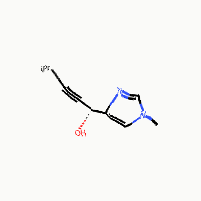 CC(C)C#C[C@@H](O)c1cn(C)cn1